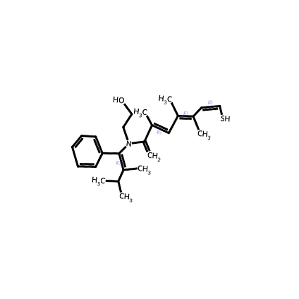 C=C(/C(C)=C/C(C)=C(C)/C=C\S)N(CCO)/C(=C(\C)C(C)C)c1ccccc1